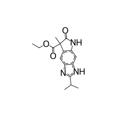 CCOC(=O)C1(C)C(=O)Nc2cc3[nH]c(C(C)C)nc3cc21